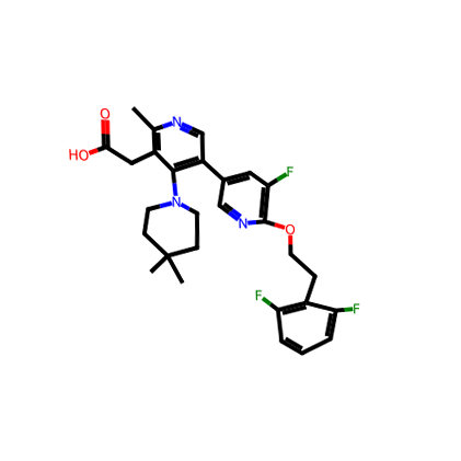 Cc1ncc(-c2cnc(OCCc3c(F)cccc3F)c(F)c2)c(N2CCC(C)(C)CC2)c1CC(=O)O